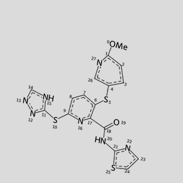 COc1ccc(Sc2ccc(Sc3nnc[nH]3)nc2C(=O)Nc2nccs2)cn1